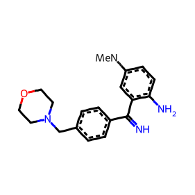 CNc1ccc(N)c(C(=N)c2ccc(CN3CCOCC3)cc2)c1